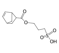 O=C(OCCCS(=O)(=O)O)C1CC2C=CC1C2